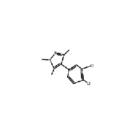 Cc1nn(I)c(C)c1-c1ccc(Cl)c(Cl)c1